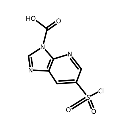 O=C(O)n1cnc2cc(S(=O)(=O)Cl)cnc21